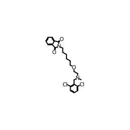 CN(CCOCCCCCCN1C(=O)c2ccccc2C1=O)Cc1c(Cl)cccc1Cl